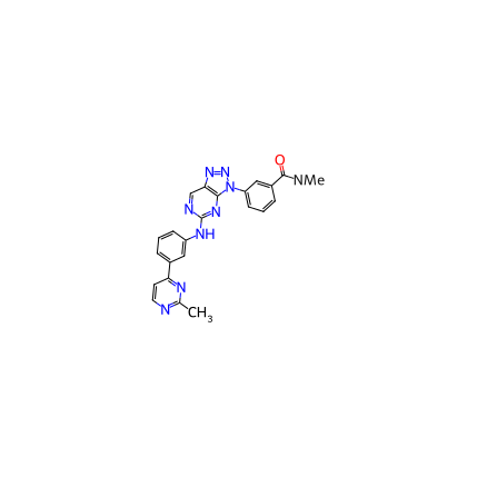 CNC(=O)c1cccc(-n2nnc3cnc(Nc4cccc(-c5ccnc(C)n5)c4)nc32)c1